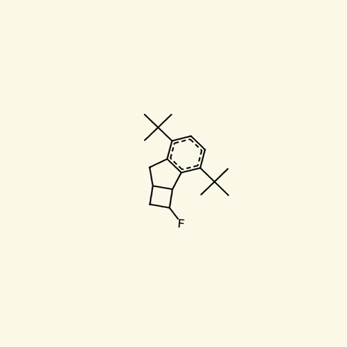 CC(C)(C)c1ccc(C(C)(C)C)c2c1CC1CC(F)C21